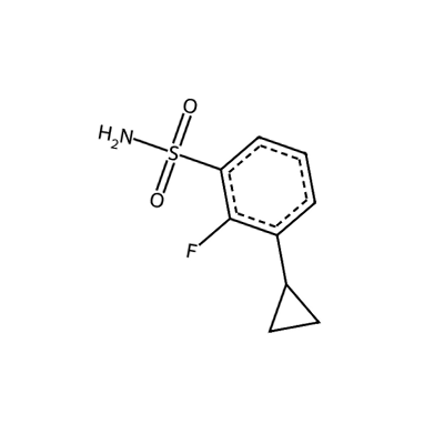 NS(=O)(=O)c1cccc(C2CC2)c1F